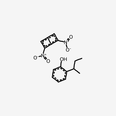 CCC(C)c1ccccc1O.O=[N+]([O-])c1cc2cc([N+](=O)[O-])c1-2